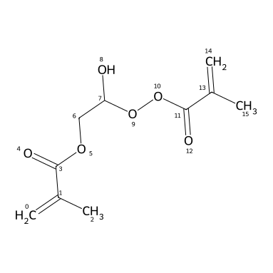 C=C(C)C(=O)OCC(O)OOC(=O)C(=C)C